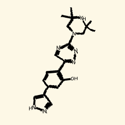 CC1(C)CN(c2ncc(-c3ccc(-c4cn[nH]c4)cc3O)nn2)CC(C)(C)N1